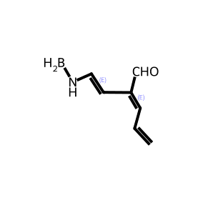 BN/C=C/C(C=O)=C\C=C